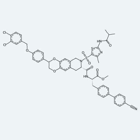 COC(=O)[C@H](Cc1ccc(-c2ccc(C#N)cc2)cc1)NC(=O)[C@@H]1Cc2cc3c(cc2CN1S(=O)(=O)c1sc(NC(=O)C(C)C)nc1C)OC(c1ccc(OCc2ccc(Cl)c(Cl)c2)cc1)CO3